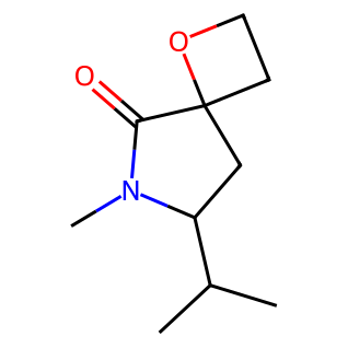 CC(C)C1CC2(CCO2)C(=O)N1C